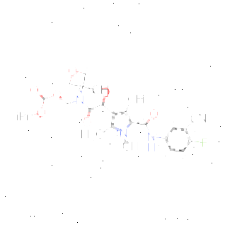 Cc1c(C(=O)C(=O)N(COC(=O)OC(C)C)C2(C)COC2)c(C)n(C)c1C(=O)Nc1ccc(F)c(C#N)c1